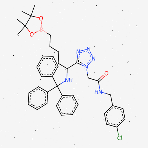 CC1(C)OB(CCCCC(NC(c2ccccc2)(c2ccccc2)c2ccccc2)c2nnnn2CC(=O)NCc2ccc(Cl)cc2)OC1(C)C